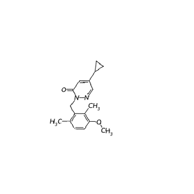 COc1ccc(C)c(Cn2ncc(C3CC3)cc2=O)c1C